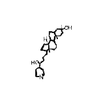 CC12CC[C@](C)(O)CC1=CCC1C2CCC2(C)C(CCCC(O)c3ccncc3)CC[C@@H]12